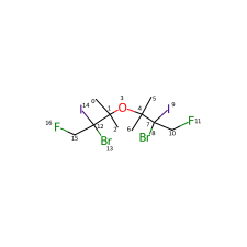 CC(C)(OC(C)(C)C(Br)(I)CF)C(Br)(I)CF